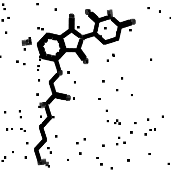 Cl.NCCCCNC(=O)COc1cccc2c1C(=O)N(C1CCC(=O)NC1=O)C2=O